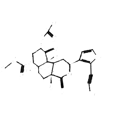 CC#Cc1occc1[C@@H]1C[C@]2(C)[C@H]3C(=O)[C@@H](OC(C)=O)C[C@@H](C(=O)OC)[C@]3(C)CC[C@H]2C(=O)O1